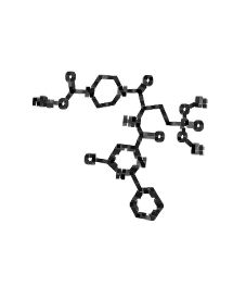 CCCCOC(=O)N1CCN(C(=O)C(CCP(=O)(OCC)OCC)NC(=O)c2cc(Cl)nc(-c3ccccc3)n2)CC1